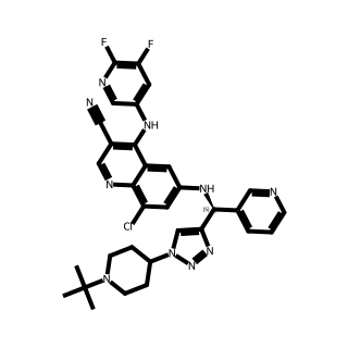 CC(C)(C)N1CCC(n2cc([C@@H](Nc3cc(Cl)c4ncc(C#N)c(Nc5cnc(F)c(F)c5)c4c3)c3cccnc3)nn2)CC1